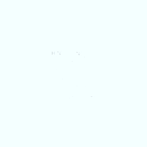 C=C(OCC)c1ccc(N)c([N+](=O)[O-])c1